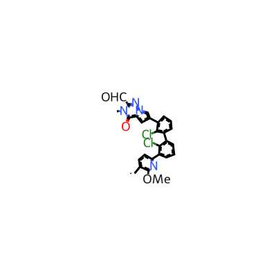 [CH2]c1ccc(-c2cccc(-c3cccc(-c4cc5c(=O)n(C)c(C=O)nn5c4)c3Cl)c2Cl)nc1OC